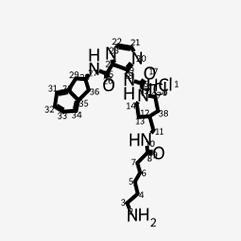 Cl.Cl.NCCCCCC(=O)NCC1CCN(C(=O)Nc2nccnc2C(=O)NC2Cc3ccccc3C2)CC1